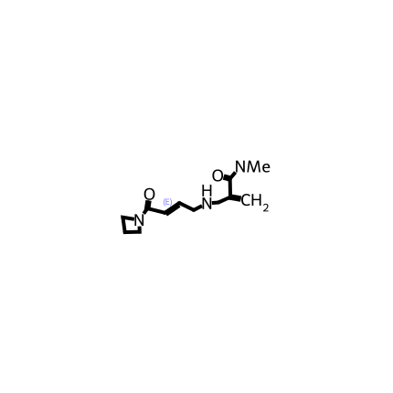 C=C(CNC/C=C/C(=O)N1CCC1)C(=O)NC